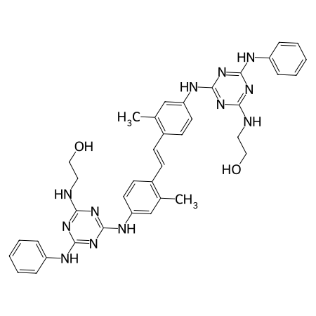 Cc1cc(Nc2nc(NCCO)nc(Nc3ccccc3)n2)ccc1C=Cc1ccc(Nc2nc(NCCO)nc(Nc3ccccc3)n2)cc1C